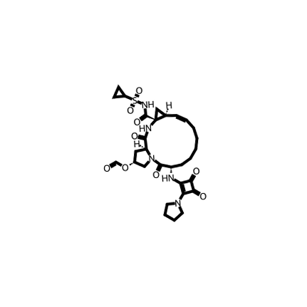 O=CO[C@@H]1C[C@H]2C(=O)N[C@]3(C(=O)NS(=O)(=O)C4CC4)C[C@H]3/C=C\CCCCC[C@H](Nc3c(N4CCCC4)c(=O)c3=O)C(=O)N2C1